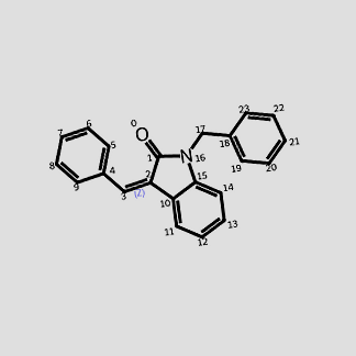 O=C1/C(=C\c2ccccc2)c2ccccc2N1Cc1ccccc1